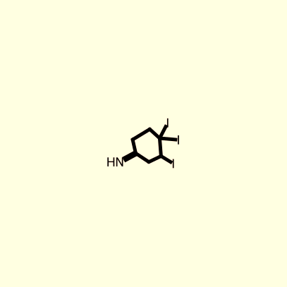 N=C1CCC(I)(I)C(I)C1